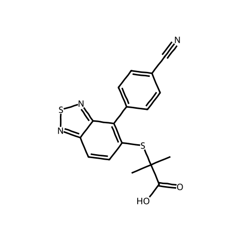 CC(C)(Sc1ccc2nsnc2c1-c1ccc(C#N)cc1)C(=O)O